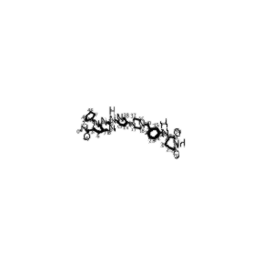 CN(C)C(=O)c1cc2cnc(Nc3ccc(N4CCN(Cc5cccc(NC6CCC(=O)NC6=O)c5)CC4)cn3)nc2n1C1CCCC1